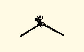 CCCCCCCCCCCCCCCCCCOP(=O)(Cc1c(C)cc(C(C)(C)C)c(OC(C)=O)c1C)OCCCCCCCCCCCCCCCCCC